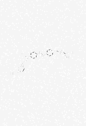 CCN(CCN1C=CN(C)C1)c1ccc(/N=N/c2ccc(/C=N/N=C(C)C)cc2)cc1